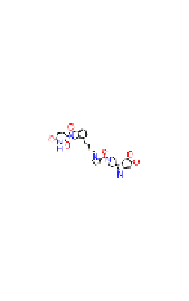 COc1ccc(C2(C#N)CCN(C(=O)C3CCCN3CCCCc3cccc4c3CN(C3CCC(=O)NC3=O)C4=O)CC2)cc1OC